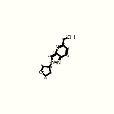 OCc1ccc2nn(C3CCOC3)cc2n1